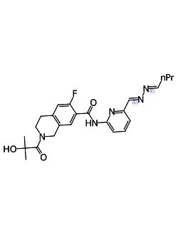 CCC/C=N/N=C/c1cccc(NC(=O)c2cc3c(cc2F)CCN(C(=O)C(C)(C)O)C3)n1